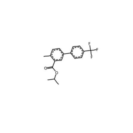 Cc1ccc(-c2ccc(C(F)(F)F)cc2)cc1C(=O)OC(C)C